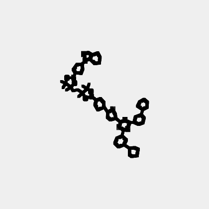 CC1(C)OB(c2ccc(-c3ccc(-c4nc(-c5cccc(-c6ccccc6)c5)nc(-c5cccc(-c6ccccc6)c5)n4)cn3)cc2)OC1(C)CCC1(C)OB(c2ccc(-n3ncc4ccccc43)cc2)OC1(C)C